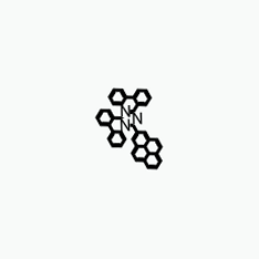 C1=CC2=CC=C3C=C(c4nc(-c5ccccc5-c5ccccc5)nc(-c5ccccc5-c5ccccc5)n4)C=C4C=CC(=C1)C2C34